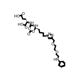 O=CO[C@H](CCCCn1cc(COCCOCCNc2ccccc2)nn1)NC(=O)N[C@@H](CCC(=O)O)C(=O)O